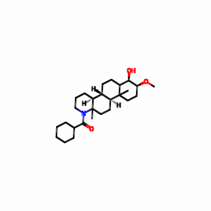 CO[C@H]1CCC2(C)C(CC[C@@H]3[C@@H]2CCC2(C)[C@H]3CCCN2C(=O)C2CCCCC2)[C@H]1O